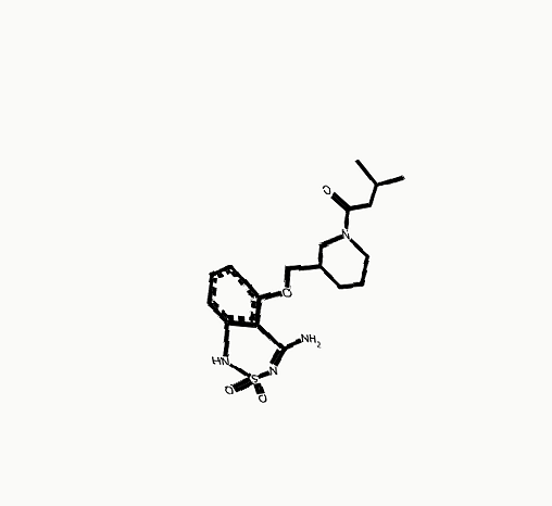 CC(C)CC(=O)N1CCCC(COc2cccc3c2C(N)=NS(=O)(=O)N3)C1